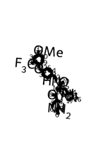 C=C/N=C\C(=C/N)C(=O)NC(C)(Cc1cn(C)cn1)C(=O)NCc1ccc(Oc2ccc(OC)cc2C(F)(F)F)cc1